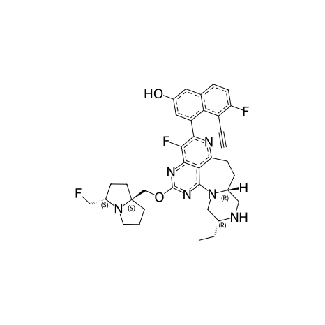 C#Cc1c(F)ccc2cc(O)cc(-c3nc4c5c(nc(OC[C@@]67CCCN6[C@H](CF)CC7)nc5c3F)N3C[C@@H](CC)NC[C@H]3CC4)c12